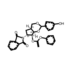 C=C(Oc1ccccc1)O[C@@H]1[C@@H]2OC(c3ccc(O)cc3)OC[C@@H]2C[C@H]1N1C(=O)c2ccccc2C1=O